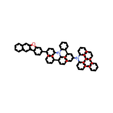 c1ccc(-c2ccccc2-c2cccc(N(c3cccc(-c4ccccc4N(c4ccc(-c5ccc6c(c5)oc5cc7ccccc7cc56)cc4)c4ccccc4-c4ccccc4)c3)c3ccccc3-c3ccccc3)c2)cc1